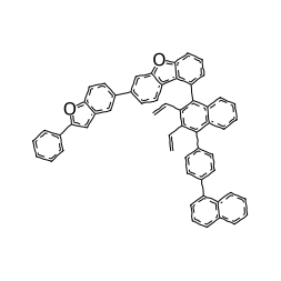 C=Cc1c(C=C)c(-c2cccc3oc4cc(-c5ccc6oc(-c7ccccc7)cc6c5)ccc4c23)c2ccccc2c1-c1ccc(-c2cccc3ccccc23)cc1